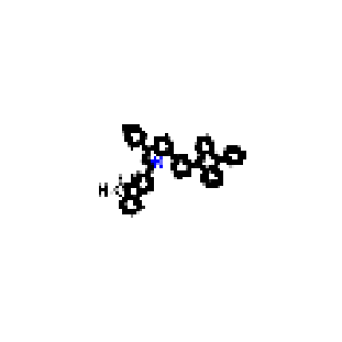 CC1(C)c2ccccc2-c2ccc(-c3cc(-c4ccccc4)c4cccc(-c5cccc(-c6c7ccccc7c(-c7ccccc7)c7ccccc67)c5)c4n3)cc21